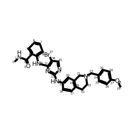 CNC(=O)c1ccccc1Nc1nc(Nc2ccc3c(c2)CN(Cc2ccc(OC)cc2)CC3)ncc1Br